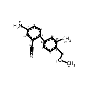 COCc1ccc(-c2ccc(N)cc2C#N)cc1C